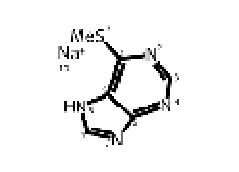 CSc1ncnc2nc[nH]c12.[Na+]